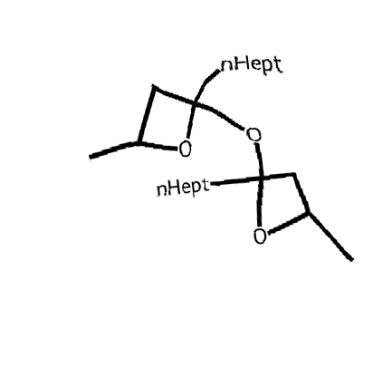 CCCCCCCC1(OC2(CCCCCCC)CC(C)O2)CC(C)O1